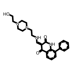 O=C1Nc2c(cccc2-c2ccccc2)C(=O)C1=CNCCN1CCN(CCO)CC1